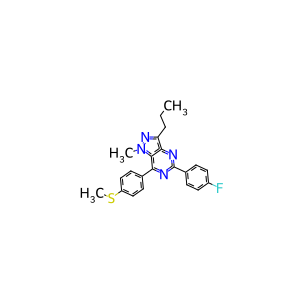 CCCc1nn(C)c2c(-c3ccc(SC)cc3)nc(-c3ccc(F)cc3)nc12